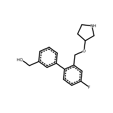 OCc1cccc(-c2ccc(F)cc2COC2CCNC2)c1